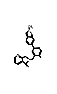 Cn1cc2ccc(C3C=C(CN4Cc5ncccc5C4=O)C(F)=CC3)cc2n1